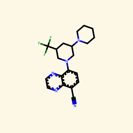 N#Cc1ccc(N2CC(N3CCCCC3)CC(C(F)(F)F)C2)c2nccnc12